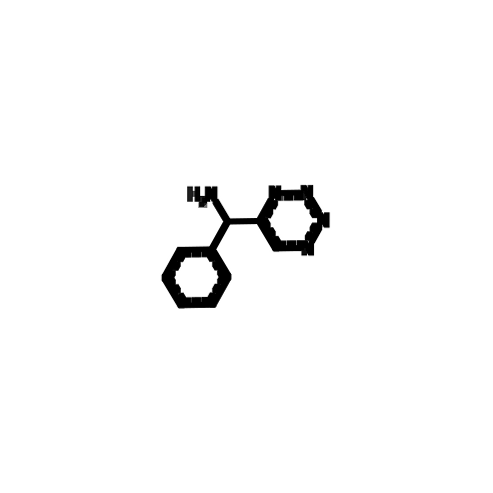 NC(c1ccccc1)c1cnnnn1